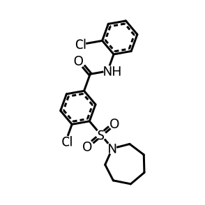 O=C(Nc1ccccc1Cl)c1ccc(Cl)c(S(=O)(=O)N2CCCCCC2)c1